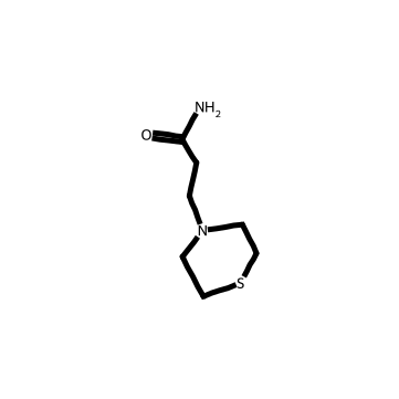 NC(=O)CCN1CCSCC1